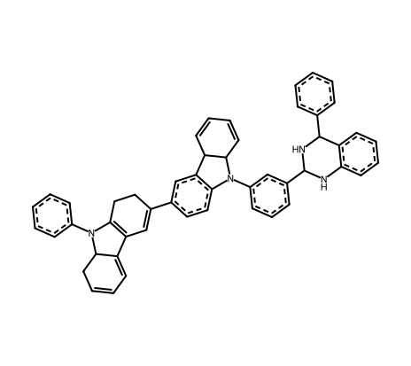 C1=CCC2C(=C1)C1=C(CCC(c3ccc4c(c3)C3C=CC=CC3N4c3cccc(C4Nc5ccccc5C(c5ccccc5)N4)c3)=C1)N2c1ccccc1